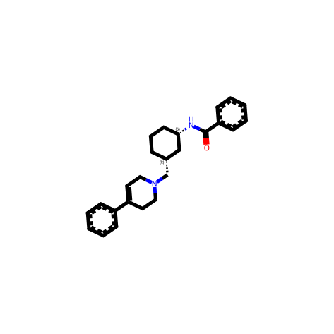 O=C(N[C@H]1CCC[C@@H](CN2CC=C(c3ccccc3)CC2)C1)c1ccccc1